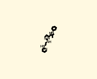 Cc1cn(-c2ccccc2)nc1-c1ccnc(NCCNc2ccccn2)n1